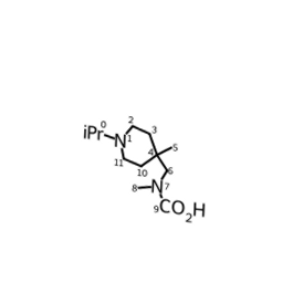 CC(C)N1CCC(C)(CN(C)C(=O)O)CC1